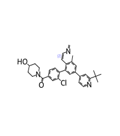 C=N/C=C\c1c(C)cc(-c2ccnc(C(C)(C)C)c2)cc1-c1ccc(C(=O)N2CCC(O)CC2)cc1Cl